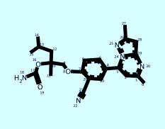 Cc1cc(-c2ccc(OCC(C)(CC(C)C)OC(N)=O)c(C#N)c2)n2nc(C)cc2n1